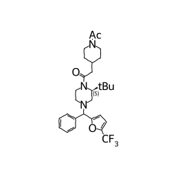 CC(=O)N1CCC(CC(=O)N2CCN(C(c3ccccc3)c3ccc(C(F)(F)F)o3)C[C@@H]2C(C)(C)C)CC1